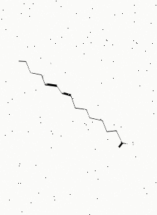 CCC[C@H](O)C=CC=CCCCCCCC(=O)O